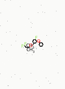 CC(C)(C=C(F)F)COCc1ccc(F)c(Oc2ccccc2)c1